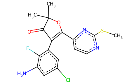 CSc1nccc(C2=C(c3cc(Cl)cc(N)c3F)C(=O)C(C)(C)O2)n1